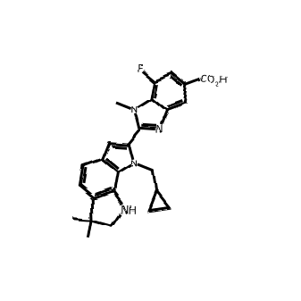 Cn1c(-c2cc3ccc4c(c3n2CC2CC2)NCC4(C)C)nc2cc(C(=O)O)cc(F)c21